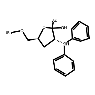 CC(=O)C1(O)O[C@H](COC(C)(C)C)C[C@H]1[SiH](c1ccccc1)c1ccccc1